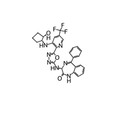 O=C1Nc2ccccc2C(c2ccccc2)=N[C@@H]1Nc1nnc(-c2ncc(C(F)(F)F)cc2N[C@H]2CCC[C@H]2O)o1